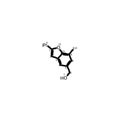 CC(C)c1cc2cc(CO)cc(I)c2o1